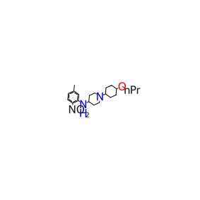 CCCO[C@H]1CC[C@@H](N2CCC(Nc3cc(C)ccc3[N+](=O)[O-])CC2)CC1